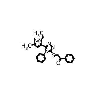 CCn1nc(C)cc1-c1nnc(SCC(=O)c2ccccc2)n1-c1ccccc1